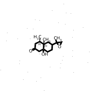 C[C@@H]1CC(=O)CC2(O)CCC(C3(C)CO3)C[C@@]12C